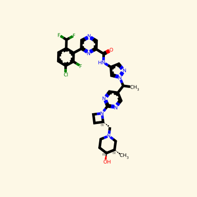 CC(c1cnc(N2CC[C@H]2CN2CC[C@H](O)[C@@H](C)C2)nc1)n1cc(NC(=O)c2cncc(-c3c(C(F)F)ccc(Cl)c3F)n2)cn1